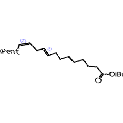 CCCC(C)/C=C\C/C=C/CCCCCCCC(=O)OCC(C)C